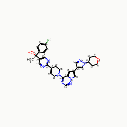 C[C@](O)(c1ccc(F)cc1)c1cnc(C2=CCN(c3ncnn4cc(-c5cnn(C6CCOCC6)c5)cc34)CC2)nc1